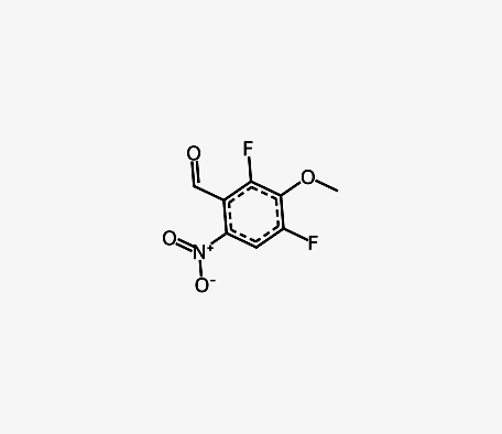 COc1c(F)cc([N+](=O)[O-])c(C=O)c1F